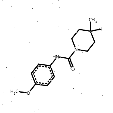 COc1ccc(NC(=O)N2CCC(C)(I)CC2)cc1